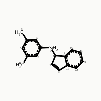 Cc1cc(C)cc([SiH2]C2C=Cc3ccccc32)c1